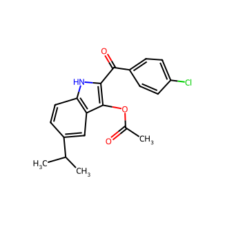 CC(=O)Oc1c(C(=O)c2ccc(Cl)cc2)[nH]c2ccc(C(C)C)cc12